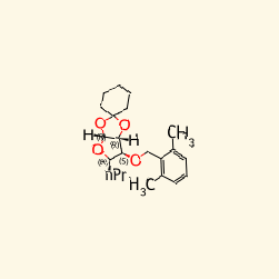 CCC[C@H]1O[C@@H]2OC3(CCCCC3)O[C@@H]2[C@H]1OCc1c(C)cccc1C